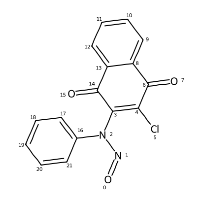 O=NN(C1=C(Cl)C(=O)c2ccccc2C1=O)c1ccccc1